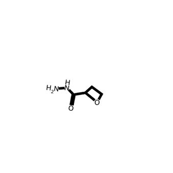 NNC(=O)C1CCO1